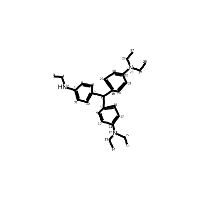 CCNc1ccc(C(c2ccc(N(CC)CC)cc2)c2ccc(N(CC)CC)cc2)cc1